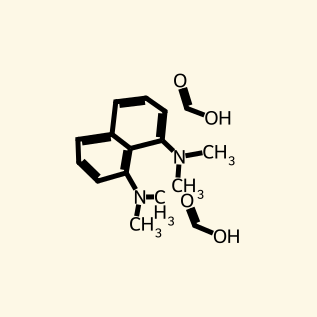 CN(C)c1cccc2cccc(N(C)C)c12.O=CO.O=CO